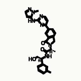 Cc1cccc([C@@H](CO)NC(=O)[C@@H](C)N2Cc3ccc(-c4ccnc(Nc5ccnn5C)n4)cc3C2=O)c1